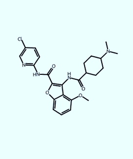 COc1cccc2oc(C(=O)Nc3ccc(Cl)cn3)c(NC(=O)C3CCC(N(C)C)CC3)c12